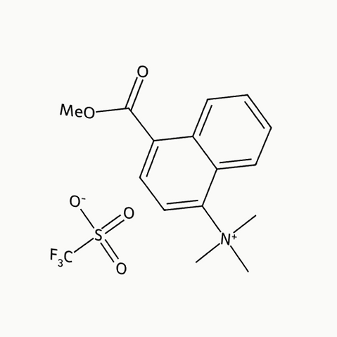 COC(=O)c1ccc([N+](C)(C)C)c2ccccc12.O=S(=O)([O-])C(F)(F)F